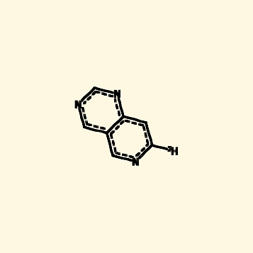 [2H]c1cc2ncncc2cn1